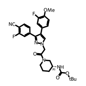 COc1ccc(-c2cn(CC(=O)N3CCC[C@@H](NC(=O)OC(C)(C)C)C3)nc2-c2ccc(C#N)c(F)c2)cc1F